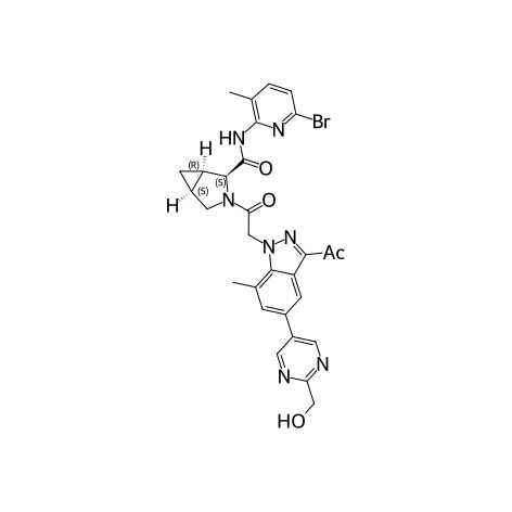 CC(=O)c1nn(CC(=O)N2C[C@H]3C[C@H]3[C@H]2C(=O)Nc2nc(Br)ccc2C)c2c(C)cc(-c3cnc(CO)nc3)cc12